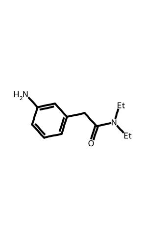 CCN(CC)C(=O)Cc1cccc(N)c1